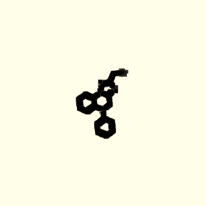 BrCc1nc2n(n1)-c1ccccc1N(c1ccccc1)C2